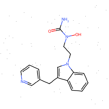 NC(=O)N(O)CCn1cc(Cc2cccnc2)c2ccccc21